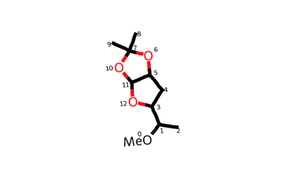 COC(C)C1CC2OC(C)(C)OC2O1